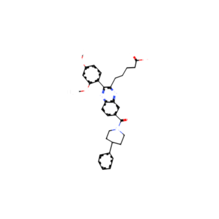 COc1ccc(-c2nc3ccc(C(=O)N4CCC(c5ccccc5)CC4)cc3nc2CCCCC(=O)O)c(OC)c1